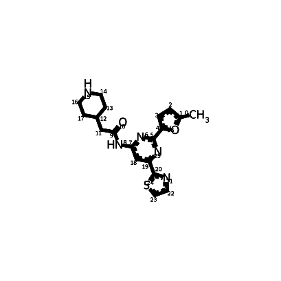 Cc1ccc(-c2nc(NC(=O)CC3CCNCC3)cc(-c3nccs3)n2)o1